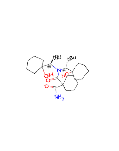 CC(C)(C)[C@@H](N(C(=O)C1(C(N)=O)CCCCC1)[C@H](C(C)(C)C)C1(O)CCCCC1)C1(O)CCCCC1